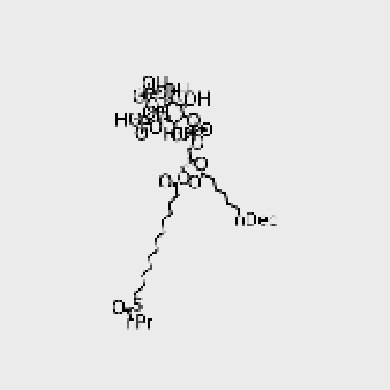 CCCCCCCCCCCCCCCC(=O)O[C@H](COC(=O)CCCCCCCCCCCCSC(=O)CCC)COP(=O)(O)OC1C(O)[C@@H](OP(=O)(O)O)C(OP(=O)(O)O)[C@@H](O)[C@H]1O